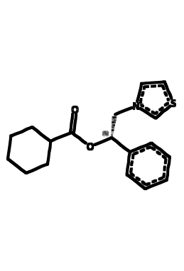 O=C(O[C@H](C[n+]1ccsc1)c1ccccc1)C1CCCCC1